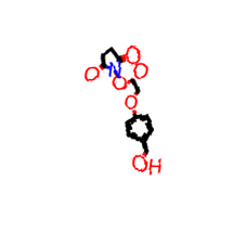 O=C(COc1ccc(CO)cc1)ON1C(=O)CCC1=O